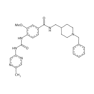 COc1cc(C(=O)NCC2CCN(Cc3ccccc3)CC2)ccc1NC(=O)Nc1cnc(C)cn1